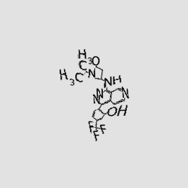 CC(C)N1CC(Nc2nnc(-c3ccc(C(F)(F)F)cc3O)c3ccncc23)CC1=O